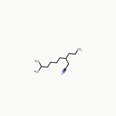 CCCC(CC#N)CCCCC(C)C